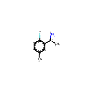 C[C@H](N)c1cc(C#N)ccc1F